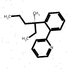 CCC[C@](C)(CC)c1ccccc1-c1ccccn1